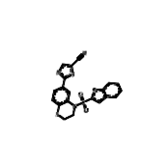 N#Cc1cnc(-c2ccc3c(c2)N(S(=O)(=O)c2cc4ccccc4s2)CCS3)s1